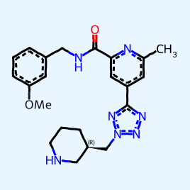 COc1cccc(CNC(=O)c2cc(-c3nnn(C[C@@H]4CCCNC4)n3)cc(C)n2)c1